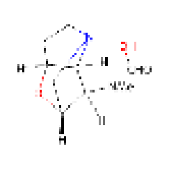 CN[C@@H]1[C@H]2[C@@H]3CCN2C[C@H]1O3.O=CO